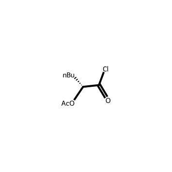 CCCC[C@@H](OC(C)=O)C(=O)Cl